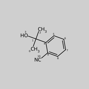 CC(C)(O)c1ccccc1C#N